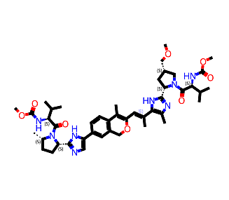 COC[C@H]1C[C@@H](c2nc(C)c(/C(C)=C/C3=C(C)c4ccc(-c5cnc([C@@H]6CC[C@H](C)N6C(=O)[C@@H](NC(=O)OC)C(C)C)[nH]5)cc4CO3)[nH]2)N(C(=O)[C@@H](NC(=O)OC)C(C)C)C1